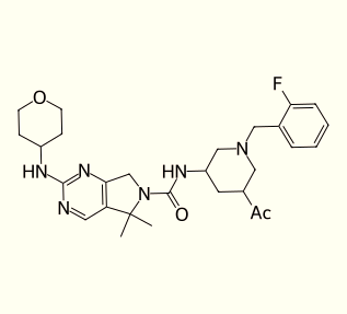 CC(=O)C1CC(NC(=O)N2Cc3nc(NC4CCOCC4)ncc3C2(C)C)CN(Cc2ccccc2F)C1